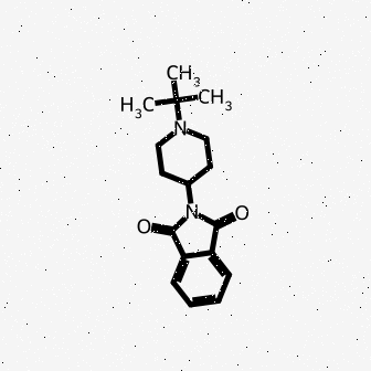 CC(C)(C)N1CCC(N2C(=O)c3ccccc3C2=O)CC1